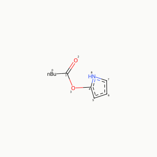 CCCCC(=O)Oc1ccc[nH]1